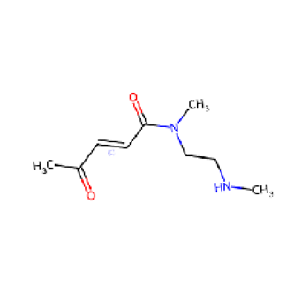 CNCCN(C)C(=O)/C=C/C(C)=O